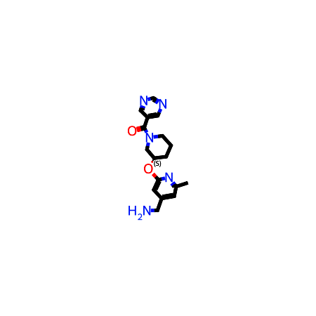 Cc1cc(CN)cc(O[C@H]2CCCN(C(=O)c3cncnc3)C2)n1